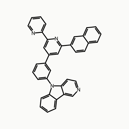 c1ccc(-c2cc(-c3cccc(-n4c5ccccc5c5cnccc54)c3)cc(-c3ccc4ccccc4c3)n2)nc1